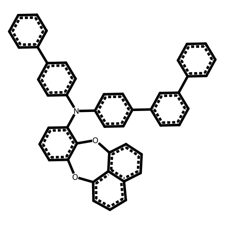 c1ccc(-c2ccc(N(c3ccc(-c4cccc(-c5ccccc5)c4)cc3)c3cccc4c3Oc3cccc5cccc(c35)O4)cc2)cc1